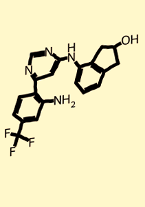 Nc1cc(C(F)(F)F)ccc1-c1cc(Nc2cccc3c2CC(O)C3)ncn1